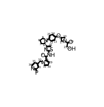 O=C(Nc1nc([C@H]2CCCN2c2ccc(OC3CN(C(=O)CO)C3)cc2)cs1)c1cccn1Cc1ccnc(F)c1